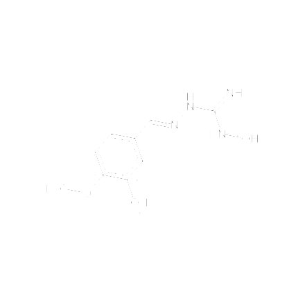 COc1ccc(/C=N/NC(=N)NO)cc1O